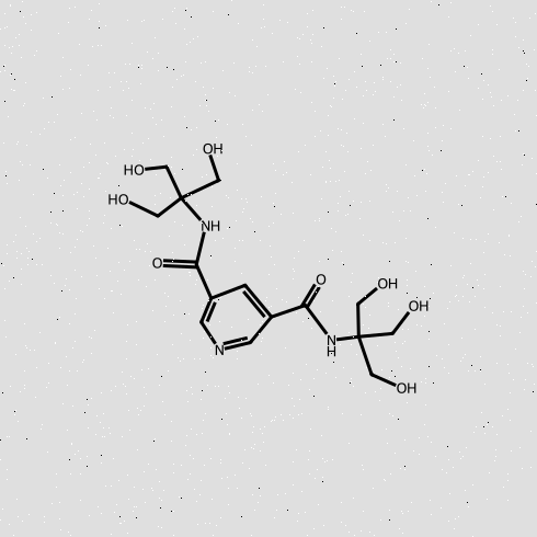 O=C(NC(CO)(CO)CO)c1cncc(C(=O)NC(CO)(CO)CO)c1